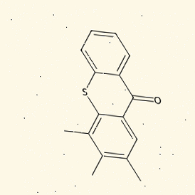 Cc1cc2c(=O)c3ccccc3sc2c(C)c1C